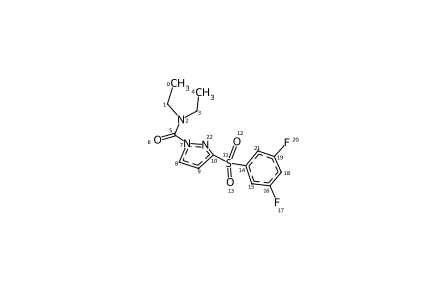 CCN(CC)C(=O)n1ccc(S(=O)(=O)c2cc(F)cc(F)c2)n1